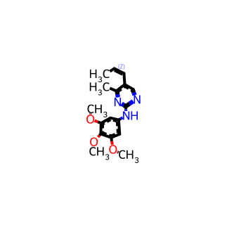 C/C=C\c1cnc(Nc2cc(OC)c(OC)c(OC)c2)nc1C